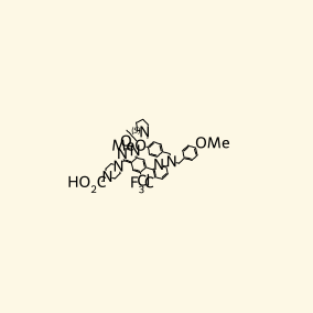 COc1ccc(CN(Cc2ccc(OC)cc2)c2ccc(C(F)(F)F)c(-c3cc4nc(OC(C)(C)[C@@H]5CCCN5C)nc(N5CCN(C(=O)O)CC5)c4cc3Cl)n2)cc1